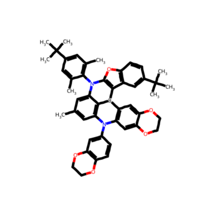 Cc1cc2c3c(c1)N(c1c(C)cc(C(C)(C)C)cc1C)c1oc4ccc(C(C)(C)C)cc4c1B3c1cc3c(cc1N2c1ccc2c(c1)OCCO2)OCCO3